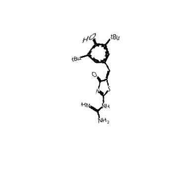 CC(C)(C)c1cc(/C=C2/SC(NC(=N)N)=NC2=O)cc(C(C)(C)C)c1O